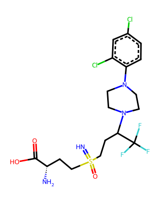 N=S(=O)(CCC(N1CCN(c2ccc(Cl)cc2Cl)CC1)C(F)(F)F)CC[C@H](N)C(=O)O